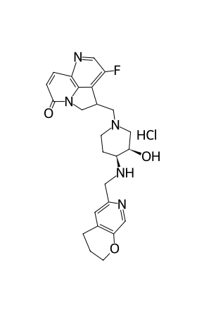 Cl.O=c1ccc2ncc(F)c3c2n1CC3CN1CC[C@H](NCc2cc3c(cn2)OCCC3)[C@H](O)C1